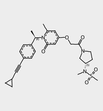 Cc1cc(OCC(=O)N2CC[C@H](N(C)S(C)(=O)=O)C2)cc(=O)n1[C@H](C)c1ccc(C#CC2CC2)cc1